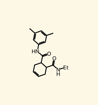 CCNC(=O)C1CC=CCC1C(=O)Nc1cc(C)cc(C)c1